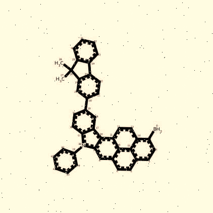 Bc1ccc2ccc3cc4c(c5ccc1c2c35)c1cc(-c2ccc3c(c2)C(C)(C)c2ccccc2-3)ccc1n4-c1ccccc1